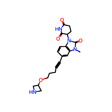 Cn1c(=O)n(C2CCC(=O)NC2=O)c2ccc(C#CCCCOC3CNC3)cc21